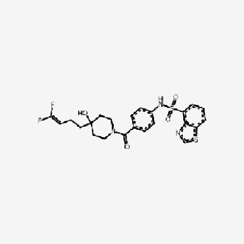 O=C(c1ccc(NS(=O)(=O)c2cccc3scnc23)cc1)N1CCC(O)(CCC=C(F)F)CC1